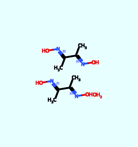 CC(=N\O)/C(C)=N/O.CC(=N\O)/C(C)=N/O.O